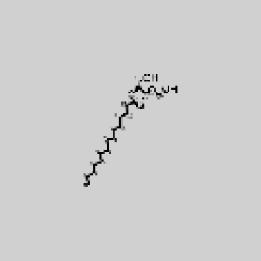 CCCCCCCCCCCCCCC(=O)O[C@H](CO)COCO